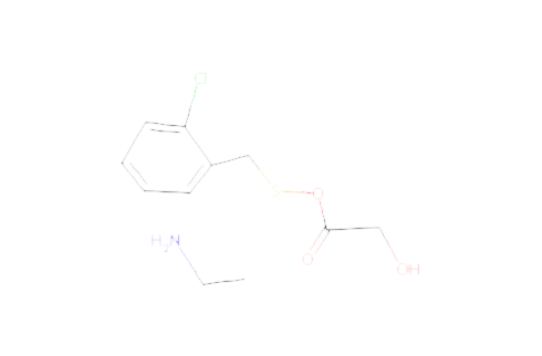 CCN.O=C(CO)OSCc1ccccc1Cl